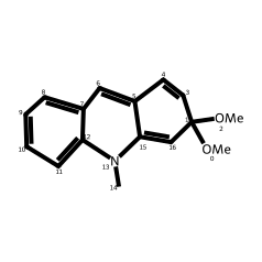 COC1(OC)C=CC2=Cc3ccccc3N(C)C2=C1